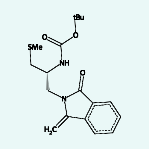 C=C1c2ccccc2C(=O)N1C[C@H](CSC)NC(=O)OC(C)(C)C